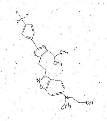 CC(C)c1nc(-c2ccc(C(F)(F)F)cc2)sc1CCc1noc2cc(N(C)CCO)ccc12